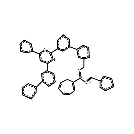 C1=CC=C(C(=N/Cc2cccc(-c3cccc(-c4nc(-c5ccccc5)cc(-c5cccc(-c6ccccc6)c5)n4)c3)c2)/N=C/c2ccccc2)CC=C1